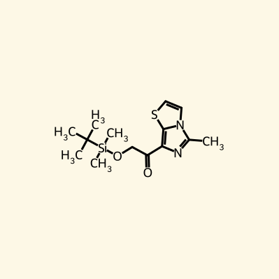 Cc1nc(C(=O)CO[Si](C)(C)C(C)(C)C)c2sccn12